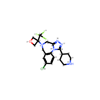 FC(F)(F)C1(N2Cc3cc(Cl)ccc3-n3c(nnc3C3CCNCC3)C2)COC1